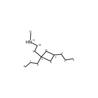 CCCC1CC(CCC)(CCNC)C1